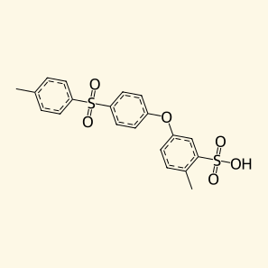 Cc1ccc(S(=O)(=O)c2ccc(Oc3ccc(C)c(S(=O)(=O)O)c3)cc2)cc1